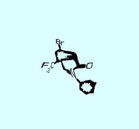 O=C1c2cc(Br)cc(C(F)(F)F)c2CN1c1ccccc1